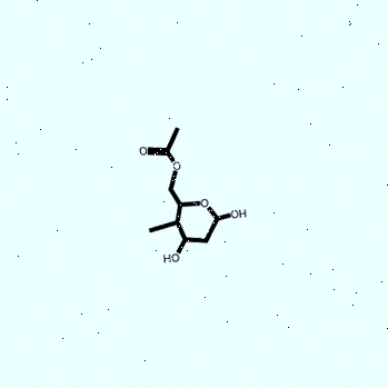 CC(=O)OCC1OC(O)CC(O)C1C